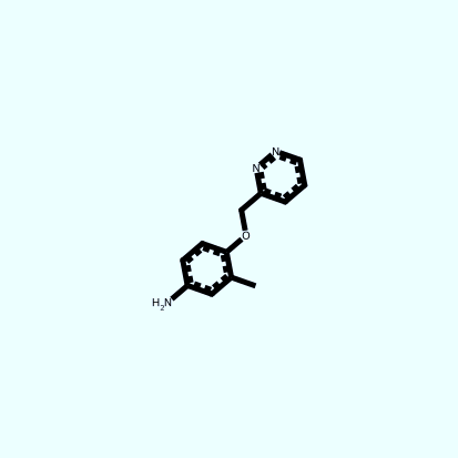 Cc1cc(N)ccc1OCc1cccnn1